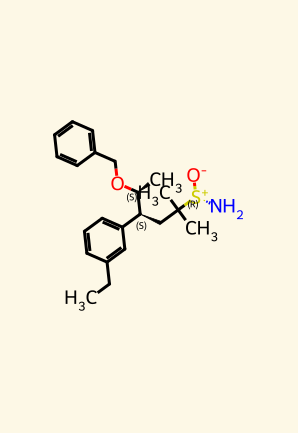 CCc1cccc([C@H](CC(C)(C)[S@@+](N)[O-])[C@H](C)OCc2ccccc2)c1